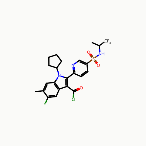 Cc1cc2c(cc1F)c(C(=O)Cl)c(-c1ccc(S(=O)(=O)NC(C)C(F)(F)F)cn1)n2C1CCCC1